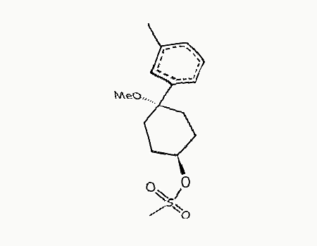 CO[C@]1(c2cccc(C)c2)CC[C@@H](OS(C)(=O)=O)CC1